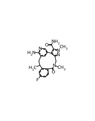 CC1Cc2cc(cnc2N)-c2c(nn(C)c2C(N)=O)CN(C)C(=O)c2ccc(F)cc21